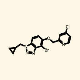 Clc1ccnc(COc2ccc3c(nnn3CC3CC3)c2Br)c1